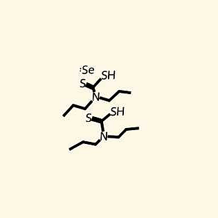 CCCN(CCC)C(=S)S.CCCN(CCC)C(=S)S.[Se]